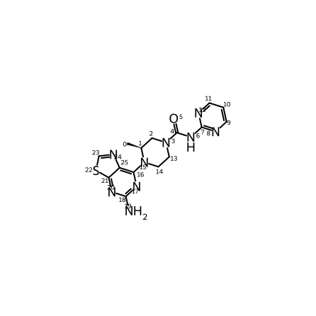 C[C@H]1CN(C(=O)Nc2ncccn2)CCN1c1nc(N)nc2scnc12